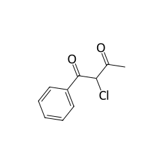 CC(=O)C(Cl)C(=O)c1ccccc1